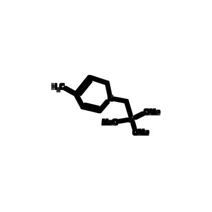 CO[Si](CN1C=CC(C)=CC1)(OC)OC